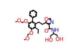 CCc1c(OCOC)cc(OCOC)c(-c2ccccc2)c1CCc1ocnc1C(=O)NC(CO)CO